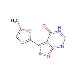 Cc1ccc(-c2coc3nc[nH]c(=O)c23)o1